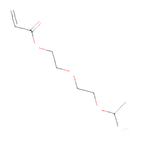 C=CC(=O)OCCOCCOC(C)OC